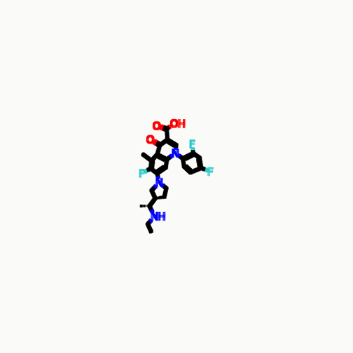 CCN[C@H](C)[C@@H]1CCN(c2cc3c(c(C)c2F)c(=O)c(C(=O)O)cn3-c2ccc(F)cc2F)C1